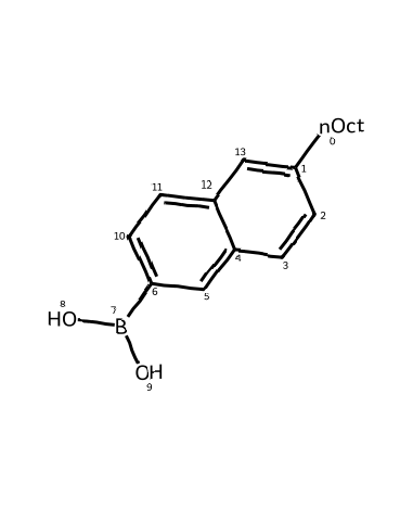 CCCCCCCCc1ccc2cc(B(O)O)ccc2c1